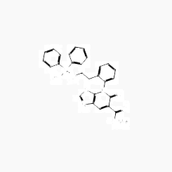 COC(=O)c1cc2ncsc2n(-c2ccccc2CCO[Si](c2ccccc2)(c2ccccc2)C(C)(C)C)c1=O